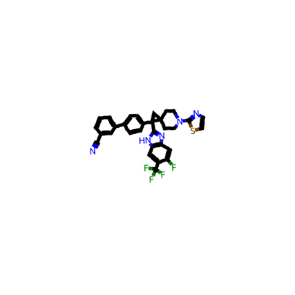 N#Cc1cccc(-c2ccc(C3(c4nc5cc(F)c(C(F)(F)F)cc5[nH]4)CC34CCN(c3nccs3)CC4)cc2)c1